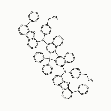 CCc1ccc(N(c2cc3c(c4ccccc24)-c2c(cc(N(c4ccc(CC)cc4)c4cccc5c4oc4c(-c6ccccc6)cccc45)c4ccccc24)C3(c2ccccc2)c2ccccc2)c2cccc3c2oc2c(-c4ccccc4)cccc23)cc1